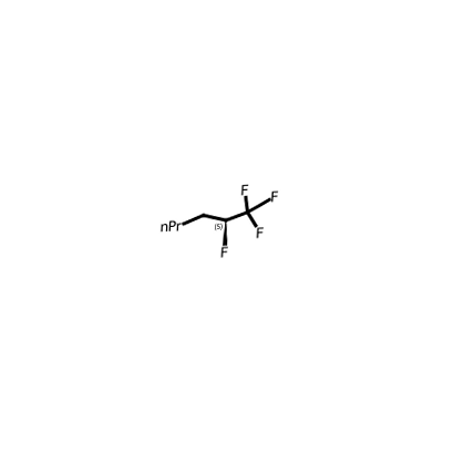 [CH2]CCC[C@H](F)C(F)(F)F